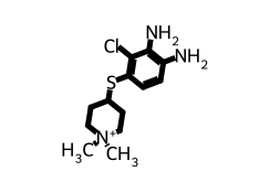 C[N+]1(C)CCC(Sc2ccc(N)c(N)c2Cl)CC1